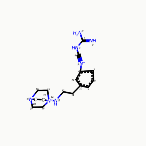 N=C(N)NC#[N+]c1cccc(CCN[N+]23CCN(CC2)CC3)c1